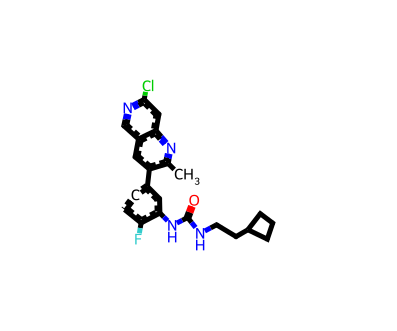 Cc1nc2cc(Cl)ncc2cc1-c1ccc(F)c(NC(=O)NCCC2CCC2)c1